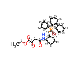 CCOC(=O)C(=O)CC(=O)Nc1ccccc1CP(Br)(c1ccccc1)(c1ccccc1)c1ccccc1